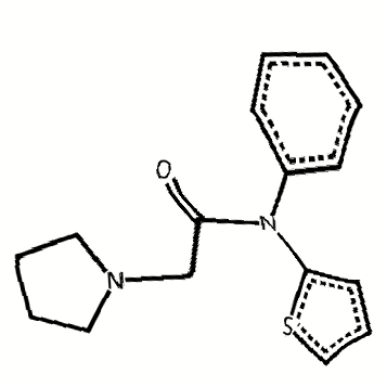 O=C(CN1CCCC1)N(c1ccccc1)c1cccs1